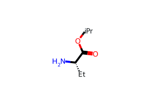 CC[C@H](N)C(=O)OC(C)C